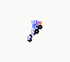 CC(C[C@@H]1CCCN1C)NCc1ccc(-c2cccc(S(N)(=O)=O)c2-c2nnn[nH]2)cc1